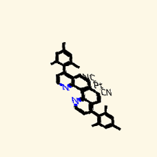 Cc1cc(C)c(-c2ccnc3c2ccc2ccc4c(-c5c(C)cc(C)cc5C)ccnc4c23)c(C)c1.N#[C][Pt][C]#N